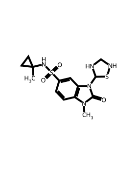 Cn1c(=O)n(C2NCNS2)c2cc(S(=O)(=O)NC3(C)CC3)ccc21